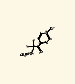 CN(O)C(C)(C)C(=O)c1ccc(Cl)cc1